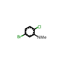 CNc1cc(Br)ccc1Cl